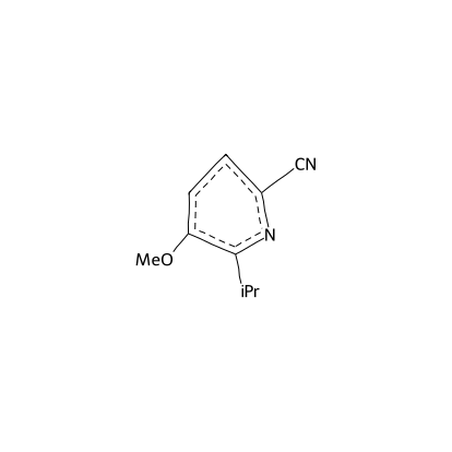 COc1ccc(C#N)nc1C(C)C